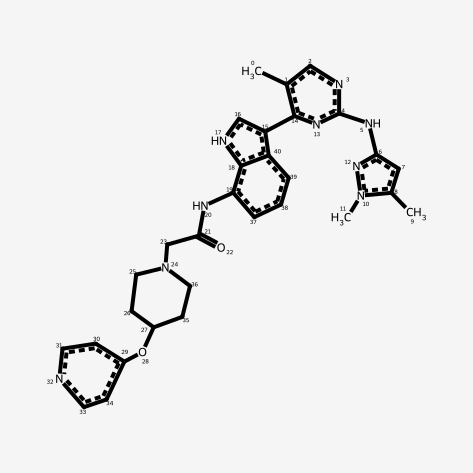 Cc1cnc(Nc2cc(C)n(C)n2)nc1-c1c[nH]c2c(NC(=O)CN3CCC(Oc4ccncc4)CC3)cccc12